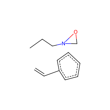 C=Cc1ccccc1.CCCN1CO1